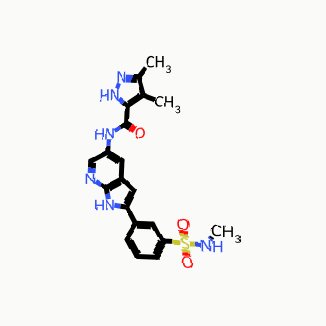 CNS(=O)(=O)c1cccc(-c2cc3cc(NC(=O)c4[nH]nc(C)c4C)cnc3[nH]2)c1